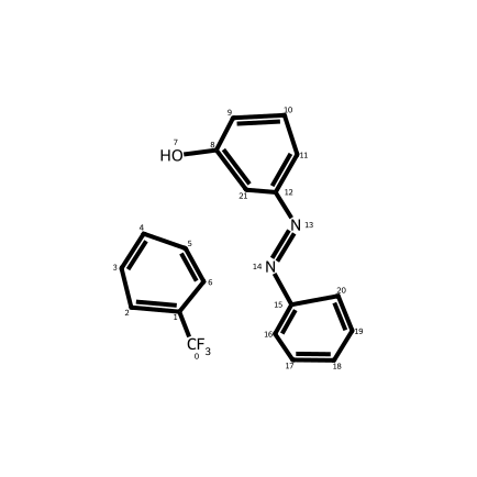 FC(F)(F)c1ccccc1.Oc1cccc(N=Nc2ccccc2)c1